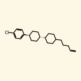 C=CCCCC1CCC([C@H]2CC[C@H](c3ccc(Cl)cc3)CC2)CC1